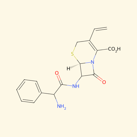 C=CC1=C(C(=O)O)N2C(=O)C(NC(=O)C(N)c3ccccc3)[C@H]2SC1